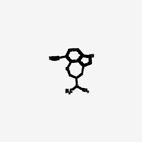 CN(C)C1COc2c(C#N)ccc3[nH]cc(c23)C1